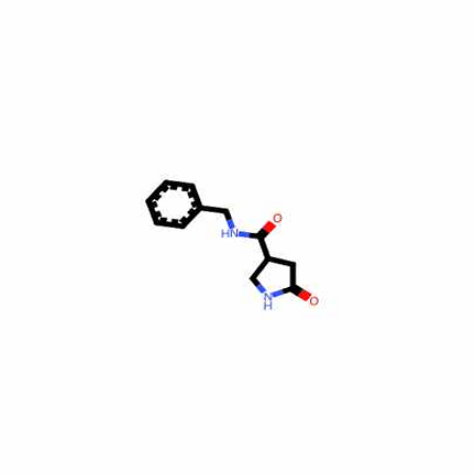 O=C1CC(C(=O)NCc2ccccc2)CN1